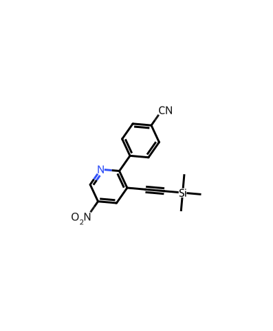 C[Si](C)(C)C#Cc1cc([N+](=O)[O-])cnc1-c1ccc(C#N)cc1